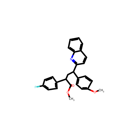 COC(=O)C(CC(c1ccc(OC)cc1)c1ccc2ccccc2n1)c1ccc(F)cc1